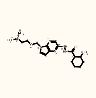 CC1CCCCC1C(=O)NNc1cnc2c(ccn2COCC[SiH](C)C)n1